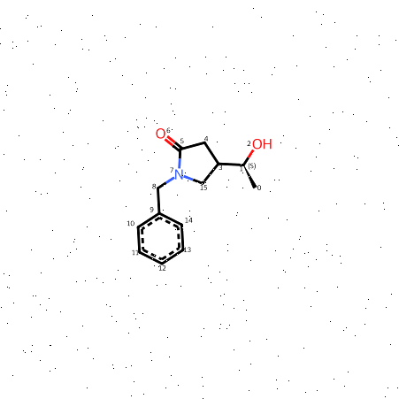 C[C@H](O)C1CC(=O)N(Cc2ccccc2)C1